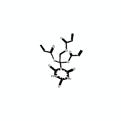 C=CC(=O)OCC(OC(=O)C=C)(OC(=O)C=C)n1c(=O)[nH]c(=O)[nH]c1=O